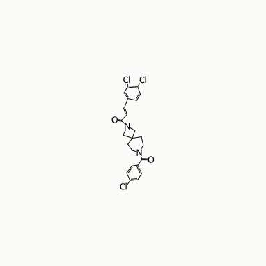 O=C(/C=C/c1ccc(Cl)c(Cl)c1)N1CC2(CCN(C(=O)c3ccc(Cl)cc3)CC2)C1